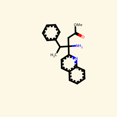 COC(=O)CC(N)(c1ccc2ccccc2n1)C(C)c1ccccc1